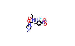 CCC(=O)N[C@H](Cc1ccc([N+](=O)[O-])c(F)c1)C(=O)N1CCN(C)CC1